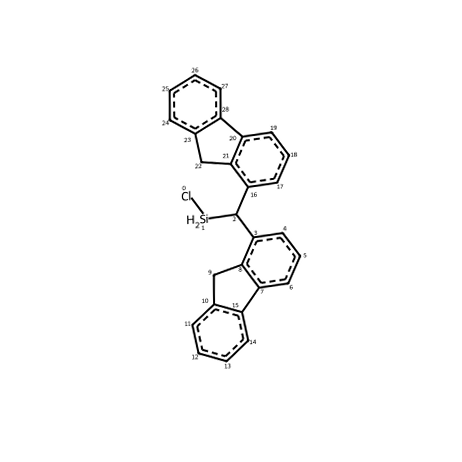 Cl[SiH2]C(c1cccc2c1Cc1ccccc1-2)c1cccc2c1Cc1ccccc1-2